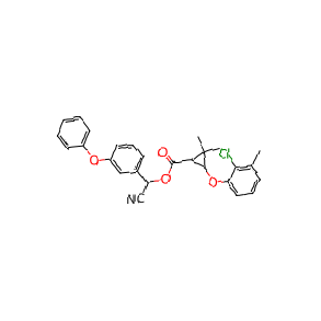 Cc1cccc(OC2C(C(=O)OC(C#N)c3cccc(Oc4ccccc4)c3)C2(C)C)c1Cl